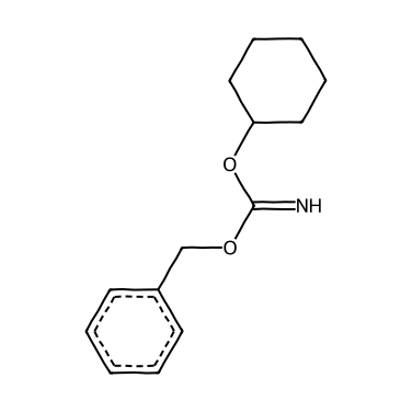 N=C(OCc1ccccc1)OC1CCCCC1